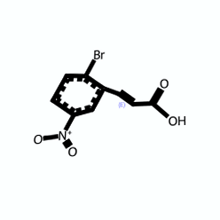 O=C(O)/C=C/c1cc([N+](=O)[O-])ccc1Br